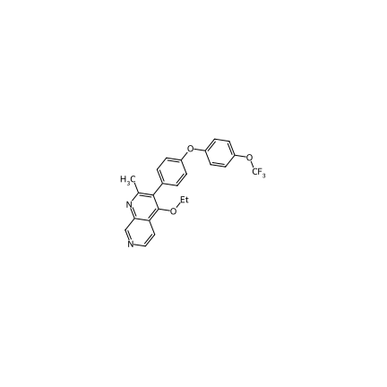 CCOc1c(-c2ccc(Oc3ccc(OC(F)(F)F)cc3)cc2)c(C)nc2cnccc12